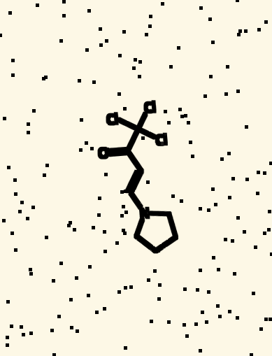 O=C(/C=C/N1CCCC1)C(Cl)(Cl)Cl